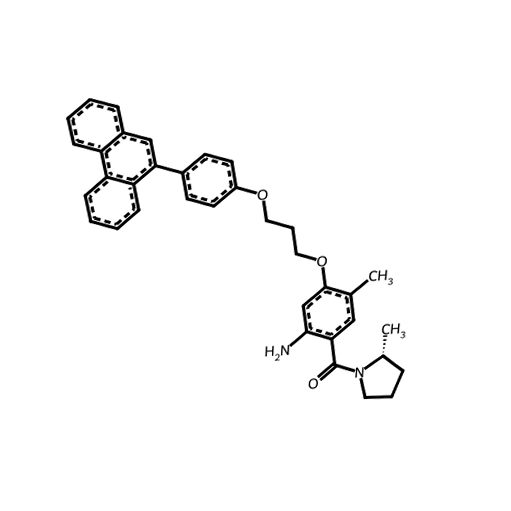 Cc1cc(C(=O)N2CCC[C@H]2C)c(N)cc1OCCCOc1ccc(-c2cc3ccccc3c3ccccc23)cc1